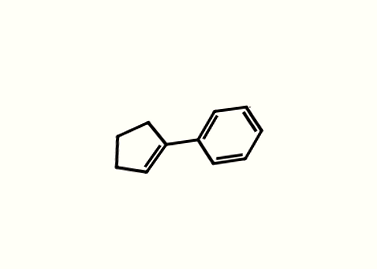 [c]1cccc(C2=CCCC2)c1